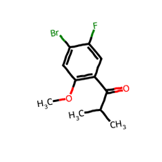 COc1cc(Br)c(F)cc1C(=O)C(C)C